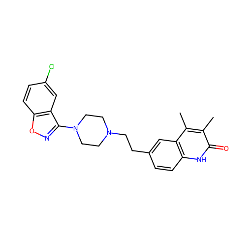 Cc1c(C)c2cc(CCN3CCN(c4noc5ccc(Cl)cc45)CC3)ccc2[nH]c1=O